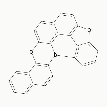 c1ccc2c3c(ccc2c1)B1c2c(ccc4ccc5oc6cccc1c6c5c24)O3